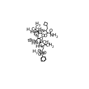 C=C(C)[C@@H](CN(C)S(=O)(=O)c1ccccc1)NC(=O)N[C@H](C(=O)N1C[C@H]2[C@@H]([C@H]1C(=O)NC(CC1CCC1)C(=O)C(N)=O)C2(C)C)C(C)(C)C